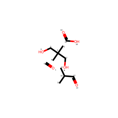 C=O.CC(C)(CO)CO.CC(C)C=O.O=CO